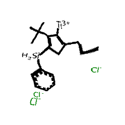 CCCC1=[C]([Ti+3])C(C(C)(C)C)=C([SiH2]c2ccccc2)C1.[Cl-].[Cl-].[Cl-]